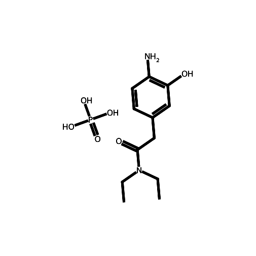 CCN(CC)C(=O)Cc1ccc(N)c(O)c1.O=P(O)(O)O